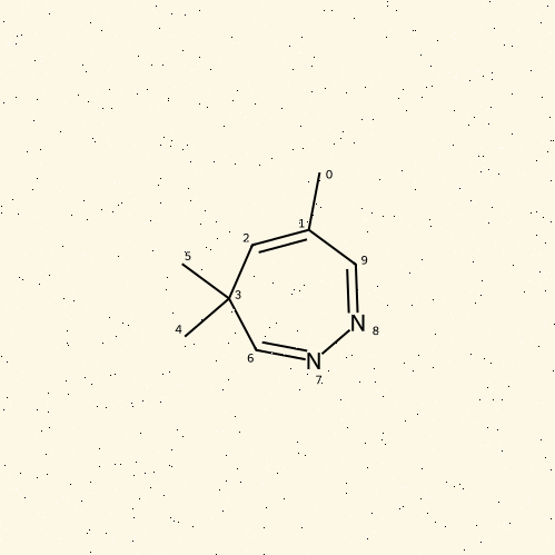 CC1=CC(C)(C)C=NN=C1